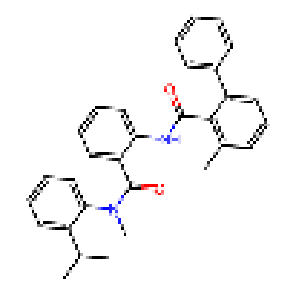 Cc1cccc(-c2ccccc2)c1C(=O)Nc1ccccc1C(=O)N(C)c1ccccc1C(C)C